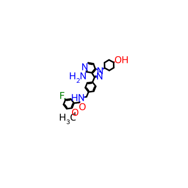 COc1ccc(F)cc1C(=O)NCc1ccc(-c2nn(C3CCC(O)CC3)c3ccnc(N)c23)cc1